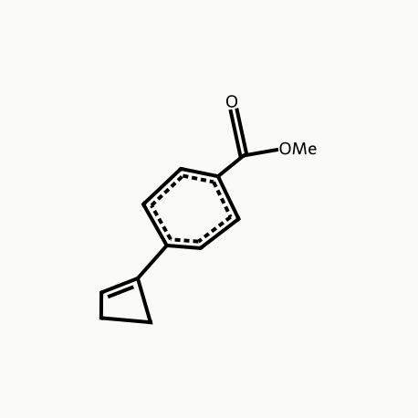 COC(=O)c1ccc(C2=CCC2)cc1